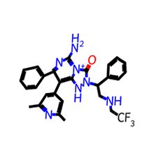 Cc1cc(-c2c(-c3ccccc3)nc(N)[n+]3c(=O)n(C(CNCC(F)(F)F)c4ccccc4)[nH]c23)cc(C)n1